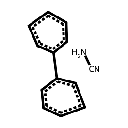 N#CN.c1ccc(-c2ccccc2)cc1